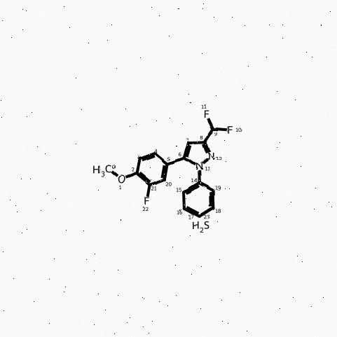 COc1ccc(-c2cc(C(F)F)nn2-c2ccccc2)cc1F.S